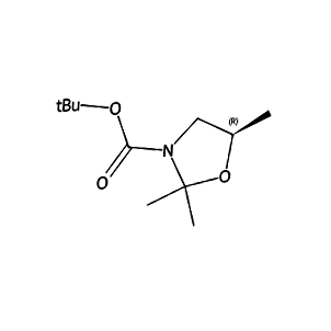 C[C@@H]1CN(C(=O)OC(C)(C)C)C(C)(C)O1